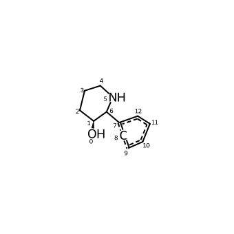 O[C@H]1CCCNC1c1ccccc1